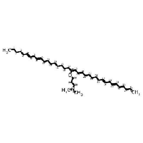 CCCCC/C=C/C/C=C/CCCCCCCCC(CCCCCCCC/C=C/C/C=C/CCCCC)OCCCN(C)C